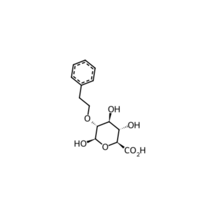 O=C(O)[C@H]1O[C@@H](O)[C@H](OCCc2ccccc2)[C@@H](O)[C@@H]1O